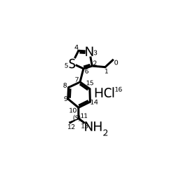 CCc1ncsc1-c1ccc([C@H](C)N)cc1.Cl